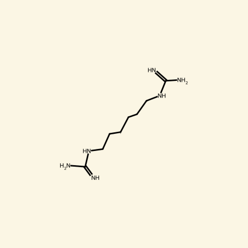 N=C(N)NCC[CH]CCCNC(=N)N